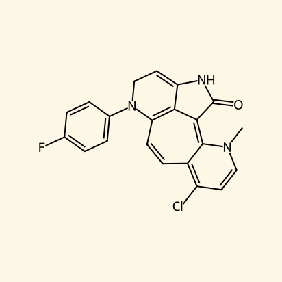 CN1C=CC(Cl)=c2ccc3c4c([nH]c(=O)c-4c21)=CCN3c1ccc(F)cc1